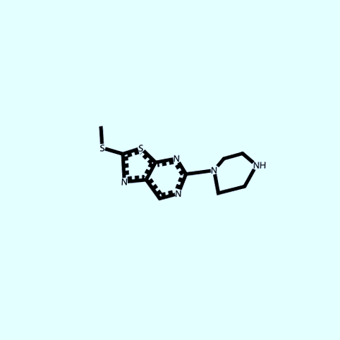 CSc1nc2cnc(N3CCNCC3)nc2s1